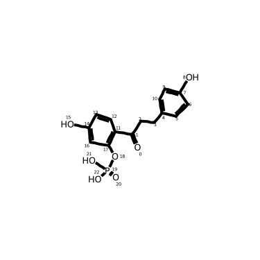 O=C(CCc1ccc(O)cc1)c1ccc(O)cc1OP(=O)(O)O